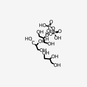 O=P(O)(O)OP(=O)(O)O.OCC(O)CO.OCC(O)CO.OCC(O)CO